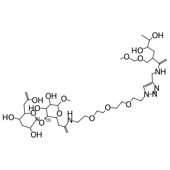 C=C(O)CC1O[C@@H](O[C@@H]2C(CC(=C)NCCOCCOCCOCCn3cc(CNC(=C)C(COCOC)CC(O)C(C)O)nn3)OC(OC)C(O)C2O)C(O)CC1O